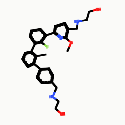 COc1nc(-c2cccc(-c3cccc(-c4ccc(CNCCO)cc4)c3C)c2F)ccc1CNCCO